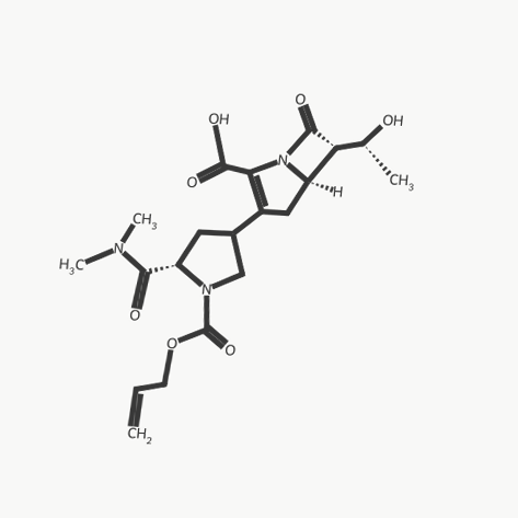 C=CCOC(=O)N1CC(C2=C(C(=O)O)N3C(=O)[C@H]([C@@H](C)O)[C@H]3C2)C[C@H]1C(=O)N(C)C